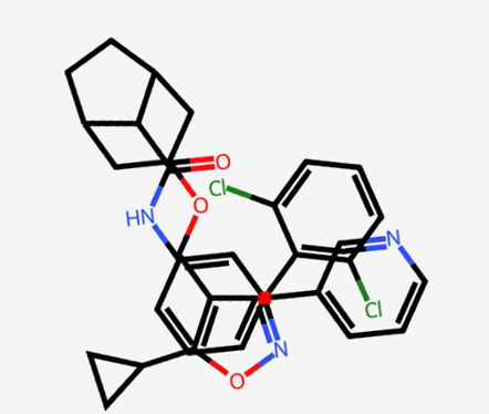 O=C(Nc1cccc(-c2cccnc2)c1)C1C2CCC1CC(OCc1c(-c3c(Cl)cccc3Cl)noc1C1CC1)C2